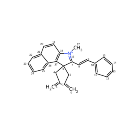 C=CCC1(CC=C)C(/C=C/c2ccccc2)=[N+](C)c2ccc3ccccc3c21